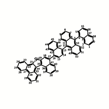 c1ccc2c(-c3c4ccccc4c(-c4ccc(-c5cc6sc7c8ccccc8c8ccccc8c7c6c6ccccc56)c5ccccc45)c4ccccc34)cccc2c1